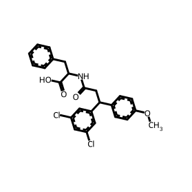 COc1ccc(C(CC(=O)NC(Cc2ccccc2)C(=O)O)c2cc(Cl)cc(Cl)c2)cc1